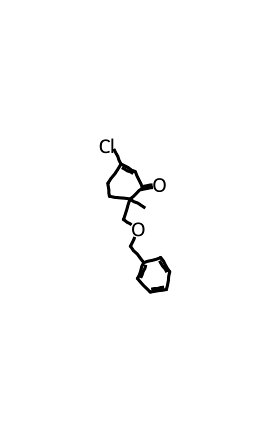 CC1(COCc2ccccc2)CCC(Cl)=CC1=O